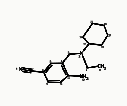 CCN(Cc1cc(C#N)ccc1N)C1CCCCC1